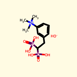 C[N+](C)(C)c1cccc(CC(P(=O)(O)O)P(=O)(O)O)c1.[OH-]